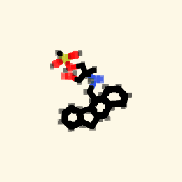 CC(CO)(COS(C)(=O)=O)NCc1c2c(cc3ccccc13)Cc1ccccc1-2